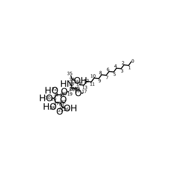 CCCCCCCCCCCCCCC[C@H](OC)[C@H](COC1OC(C(=O)O)C(O)C(O)C1O)NC(C)O